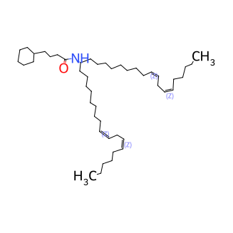 CCCCC/C=C\C/C=C\CCCCCCCCC(CCCCCCCC/C=C\C/C=C\CCCCC)NC(=O)CCCC1CCCCC1